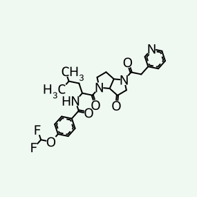 CC(C)CC(NC(=O)c1ccc(OC(F)F)cc1)C(=O)N1CCC2C1C(=O)CN2C(=O)Cc1cccnc1